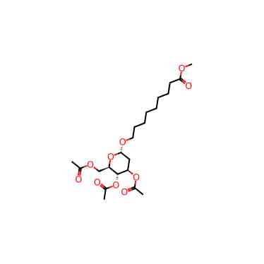 COC(=O)CCCCCCCCO[C@@H]1C[C@@H](OC(C)=O)[C@H](OC(C)=O)[C@@H](COC(C)=O)O1